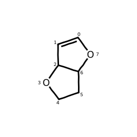 C1=CC2OCCC2O1